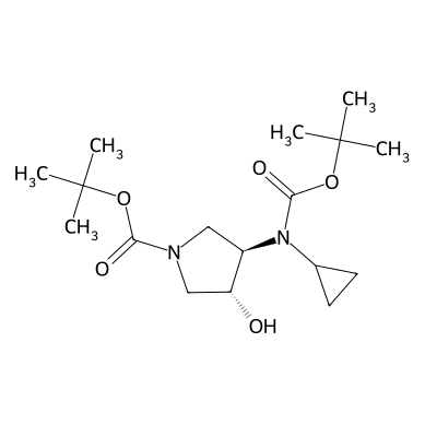 CC(C)(C)OC(=O)N1C[C@@H](O)[C@H](N(C(=O)OC(C)(C)C)C2CC2)C1